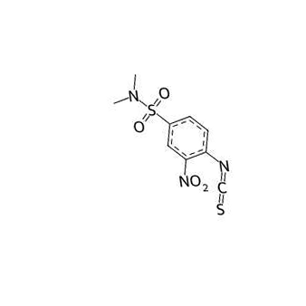 CN(C)S(=O)(=O)c1ccc(N=C=S)c([N+](=O)[O-])c1